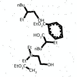 CCCCC(CC)C(=O)O.CCCCC(CC)CO.CCN(CC)CCO.CCOC(=O)c1ccccc1.CCOC(C)=O